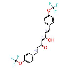 O=C(/C=C(O)/C=C/c1ccc(OC(F)(F)F)cc1)/C=C/c1ccc(OC(F)(F)F)cc1